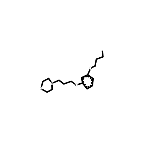 CCCCOc1cccc(OCCCN2CCOCC2)c1